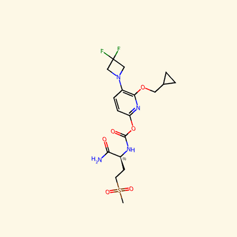 CS(=O)(=O)CC[C@H](NC(=O)Oc1ccc(N2CC(F)(F)C2)c(OCC2CC2)n1)C(N)=O